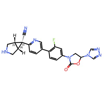 N#C[C@]1(c2ccc(-c3ccc(N4CC(n5cnnc5)OC4=O)cc3F)cn2)[C@@H]2CNC[C@@H]21